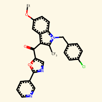 CCOc1ccc2c(c1)c(C(=O)c1cnc(-c3cccnc3)o1)c(C(F)(F)F)n2Cc1ccc(Cl)cc1